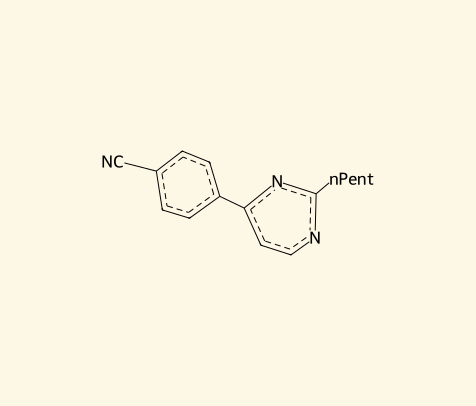 CCCCCc1nccc(-c2ccc(C#N)cc2)n1